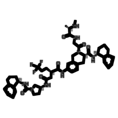 CN[C@@H](C)C(=O)NCC(=O)N1Cc2cc(NC(=O)[C@H](CCC(F)(F)F)CC(=O)N[C@H]3CCN(C(=O)N[C@@H]4CCCc5ccccc54)C3)ccc2C[C@H]1C(=O)N[C@@H]1CCCc2ccccc21